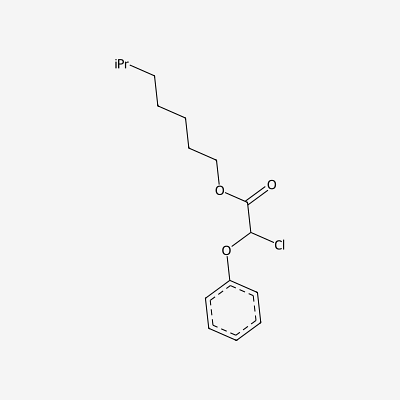 CC(C)CCCCCOC(=O)C(Cl)Oc1ccccc1